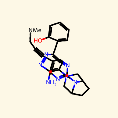 CNCC#Cc1cnc(N2C3CCC2CN(c2cc(-c4ccccc4O)nnc2N)C3)nc1